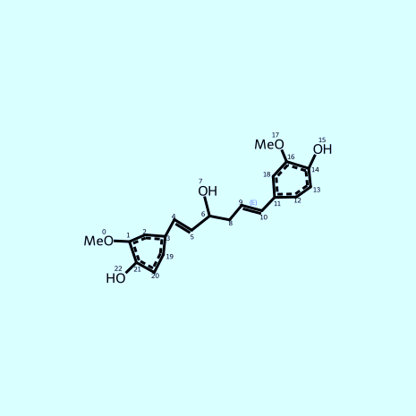 COc1cc(C=CC(O)C/C=C/c2ccc(O)c(OC)c2)ccc1O